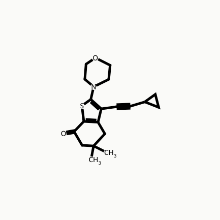 CC1(C)CC(=O)c2sc(N3CCOCC3)c(C#CC3CC3)c2C1